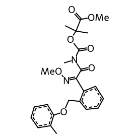 CON=C(C(=O)N(C)C(=O)OC(C)(C)C(=O)OC)c1ccccc1COc1ccccc1C